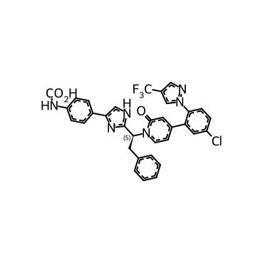 O=C(O)Nc1ccc(-c2c[nH]c([C@H](Cc3ccccc3)n3ccc(-c4cc(Cl)ccc4-n4cc(C(F)(F)F)cn4)cc3=O)n2)cc1